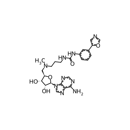 CN(CCCNC(=O)Nc1cccc(-c2cnco2)c1)C[C@H]1O[C@@H](n2cnc3c(N)ncnc32)[C@H](O)[C@@H]1O